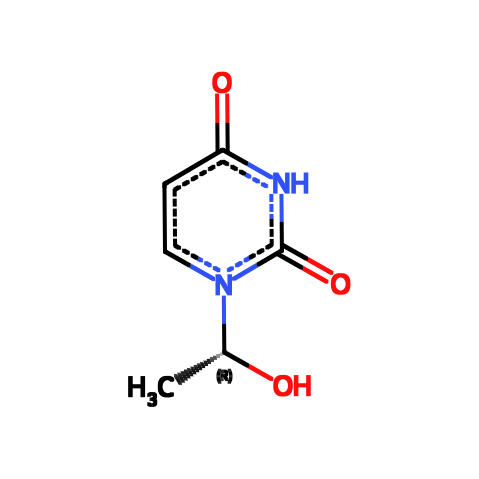 C[C@@H](O)n1ccc(=O)[nH]c1=O